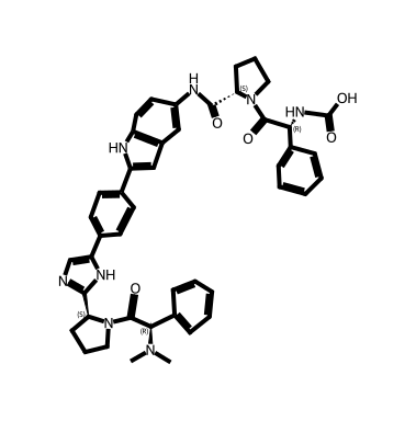 CN(C)[C@@H](C(=O)N1CCC[C@H]1c1ncc(-c2ccc(-c3cc4cc(NC(=O)[C@@H]5CCCN5C(=O)[C@H](NC(=O)O)c5ccccc5)ccc4[nH]3)cc2)[nH]1)c1ccccc1